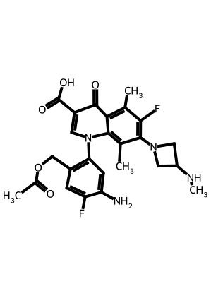 CNC1CN(c2c(F)c(C)c3c(=O)c(C(=O)O)cn(-c4cc(N)c(F)cc4COC(C)=O)c3c2C)C1